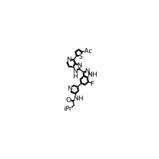 CC(=O)c1ccc(-c2nccc3[nH]c(-c4n[nH]c5c(F)cc(-c6cncc(NC(=O)CC(C)C)c6)cc45)nc23)s1